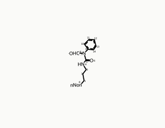 CCCCCCCCCCCCNC(=O)N([C]=O)c1ccccc1